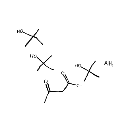 CC(=O)CC(=O)O.CC(C)(C)O.CC(C)(C)O.CC(C)(C)O.[AlH3]